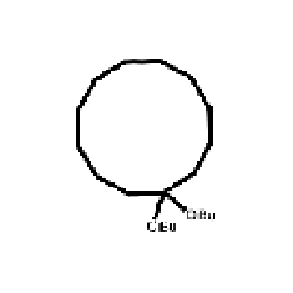 CC(C)COC1(OCC(C)C)CCCCCCCCCCC1